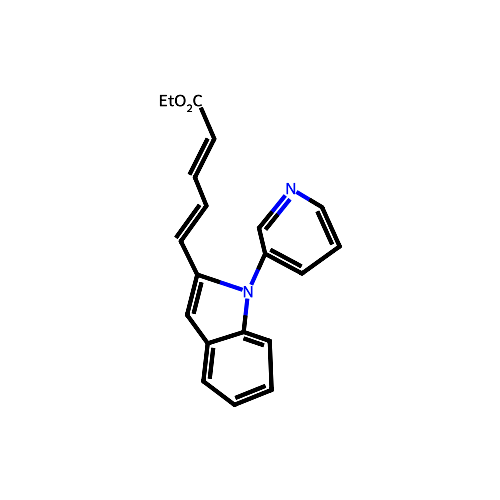 CCOC(=O)C=CC=Cc1cc2ccccc2n1-c1cccnc1